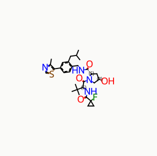 Cc1ncsc1-c1ccc(CNC(=O)[C@@H]2C[C@@H](O)CN2C(=O)[C@@H](NC(=O)C2(F)CC2)C(C)(C)C)c(CC(C)C)c1